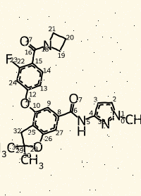 Cn1ccc(NC(=O)c2cc(Oc3ccc(C(=O)N4CCC4)c(F)c3)c3c(c2)OC(C)(C)C3)n1